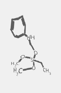 CC[Si](OC)(OC)OCNc1ccccc1